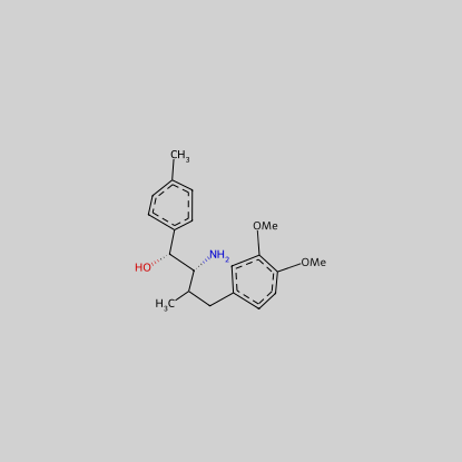 COc1ccc(CC(C)[C@@H](N)[C@H](O)c2ccc(C)cc2)cc1OC